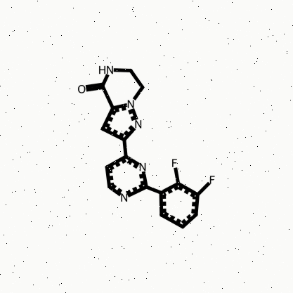 O=C1NCCn2nc(-c3ccnc(-c4cccc(F)c4F)n3)cc21